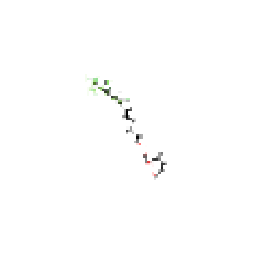 FC(F)(F)C(F)(F)C(F)(F)C(F)(F)C(F)(F)CCCCCCOCC1CCCCO1